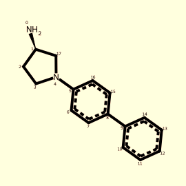 N[C@@H]1CCN(c2ccc(-c3ccccc3)cc2)C1